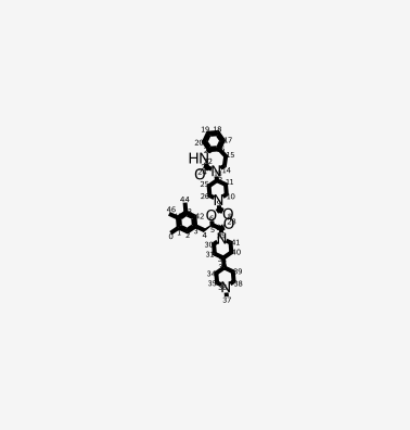 Cc1cc(C[C@@H](OC(=O)N2CCC(N3CCc4ccccc4NC3=O)CC2)C(=O)N2CCC(C3CCN(C)CC3)CC2)cc(C)c1C